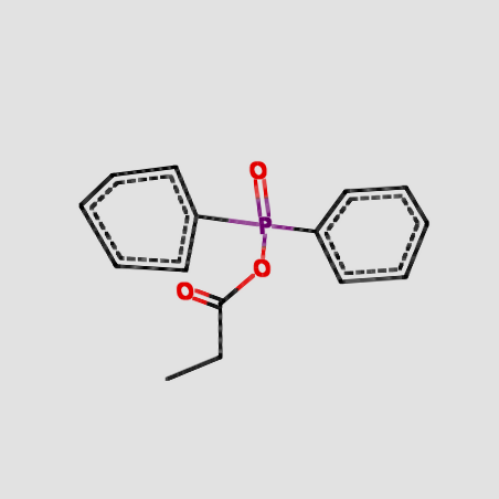 CCC(=O)OP(=O)(c1ccccc1)c1ccccc1